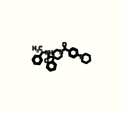 C[C@H](NC(=O)C1(c2ccccc2)CCN(C(=O)c2ccc(N3CCCCC3)cc2)CC1)c1ccccc1